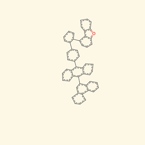 c1ccc(-c2cccc3oc4ccccc4c23)c(-c2ccc(-c3c4ccccc4c(-c4cc5ccccc5c5ccccc45)c4ccccc34)cc2)c1